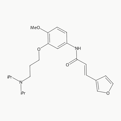 COc1ccc(NC(=O)/C=C/c2ccoc2)cc1OCCCN(C(C)C)C(C)C